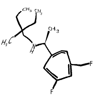 CCC(C)(CC)N[C@@H](C)c1cc(F)cc(F)c1